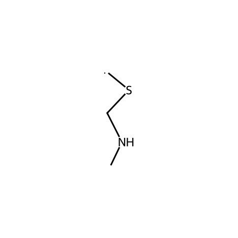 [CH2]SCNC